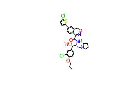 CCCOc1ccc([C@@H](O)[C@@H](CN2CCCC2)NC(=O)C2=NOCc3cc(-c4ccc(Cl)s4)ccc32)cc1Cl